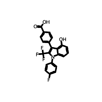 O=C(O)c1ccc(-c2c(C(F)(F)F)n(-c3ccc(F)cc3)c3cccc(O)c23)cc1